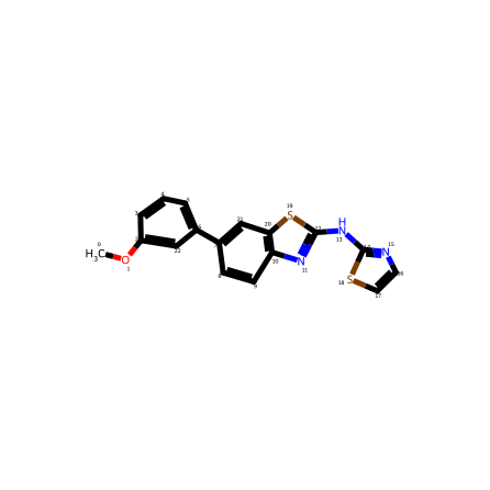 COc1cccc(-c2ccc3nc(Nc4nccs4)sc3c2)c1